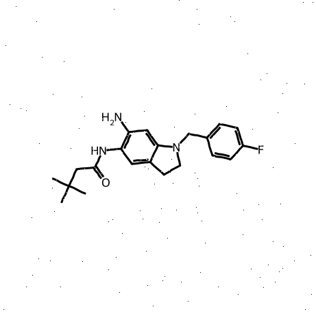 CC(C)(C)CC(=O)Nc1cc2c(cc1N)N(Cc1ccc(F)cc1)CC2